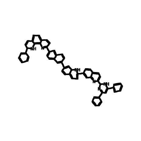 C1=CC2=CC=C(c3ccc4ccc(C5N=C(c6ccccc6)C=C(c6ccccc6)N5)nc4c3)NC2C=C1c1ccc2cc(-c3ccc4ccc5c(c4n3)NC(c3ccccc3)C=C5)ccc2c1